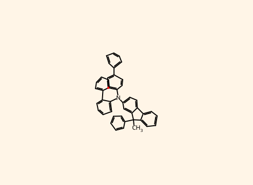 CC1(c2ccccc2)c2ccccc2-c2ccc(N(c3ccc(-c4ccccc4)cc3)c3ccccc3-c3ccccc3)cc21